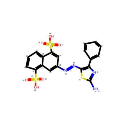 Nc1nc(-c2ccccc2)c(/N=N/c2cc(S(=O)(=O)O)c3cccc(S(=O)(=O)O)c3c2)s1